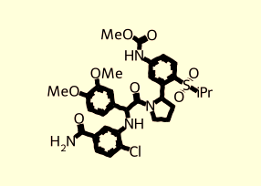 COC(=O)Nc1ccc(S(=O)(=O)C(C)C)c(C2CCCN2C(=O)C(Nc2cc(C(N)=O)ccc2Cl)c2ccc(OC)c(OC)c2)c1